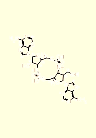 Nc1ncnc2c1ncn2[C@@H]1O[C@@H]2COP(=O)(O)NC3[C@@H](COP(=O)(O)NC2C1CO)O[C@@H](n1cnc2c(N)ncnc21)[C@H]3O